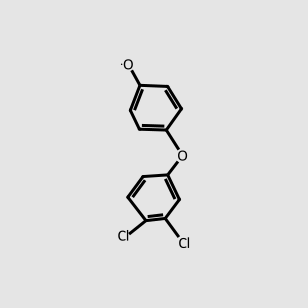 [O]c1ccc(Oc2ccc(Cl)c(Cl)c2)cc1